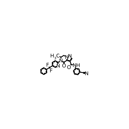 CC1Cn2ncc(C(=O)Nc3cccc(C#N)c3)c2C(=O)N1c1ccc(C(F)(F)c2ccccc2)cn1